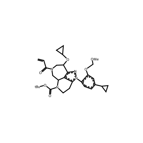 C=CC(=O)N1CC(OC2CC2)c2nn(-c3ccc(C4CC4)cc3OCOC)c3c2C(C1)N(C(=O)OC(C)(C)C)CC3